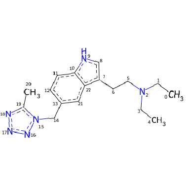 CCN(CC)CCc1c[nH]c2ccc(Cn3nnnc3C)cc12